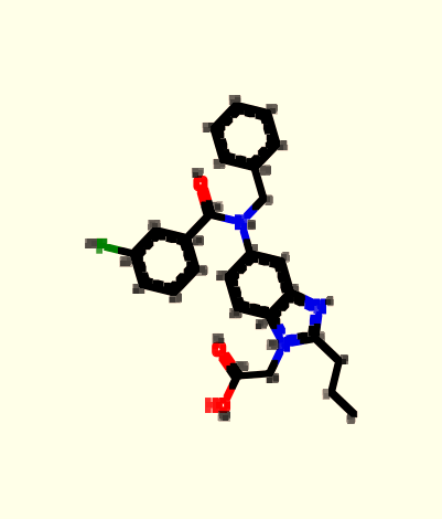 CCCc1nc2cc(N(Cc3ccccc3)C(=O)c3cccc(F)c3)ccc2n1CC(=O)O